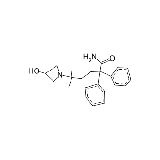 CC(C)(CCC(C(N)=O)(c1ccccc1)c1ccccc1)N1CC(O)C1